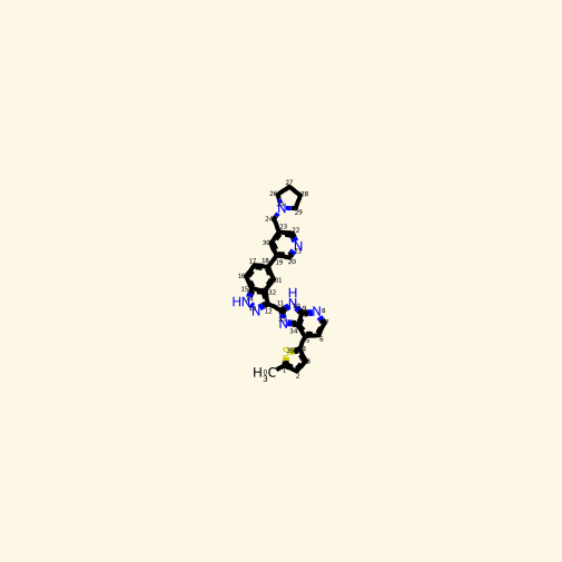 Cc1ccc(-c2ccnc3[nH]c(-c4n[nH]c5ccc(-c6cncc(CN7CCCC7)c6)cc45)nc23)s1